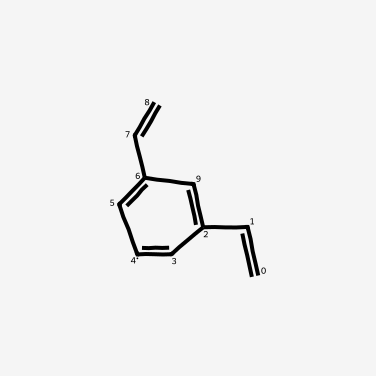 C=Cc1c[c]cc(C=C)c1